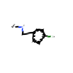 CCC[N]Cc1ccc(Cl)cc1